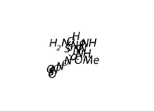 COc1cc(N2CCC(N3CCN(S(C)(=O)=O)CC3)CC2)c(C)cc1Nc1nc(NC2C=CSC2C(N)=O)c2cc[nH]c2n1